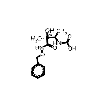 CC(NC(=O)O)[C@](C)(O)C(=O)NOCc1ccccc1